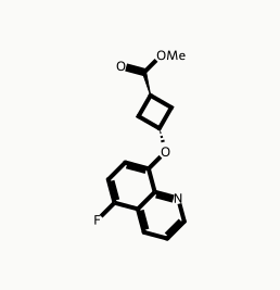 COC(=O)[C@H]1C[C@H](Oc2ccc(F)c3cccnc23)C1